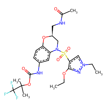 CCOc1nn(CC)cc1S(=O)(=O)N1C[C@H](CNC(C)=O)Oc2ccc(NC(=O)OC(C)(C)C(F)(F)F)cc21